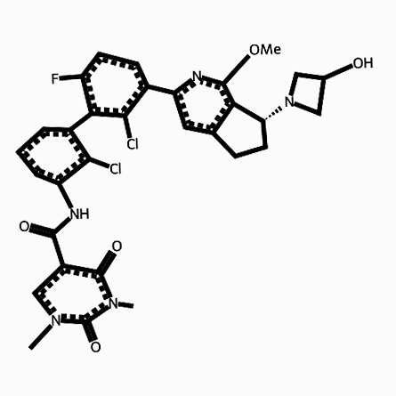 COc1nc(-c2ccc(F)c(-c3cccc(NC(=O)c4cn(C)c(=O)n(C)c4=O)c3Cl)c2Cl)cc2c1[C@H](N1CC(O)C1)CC2